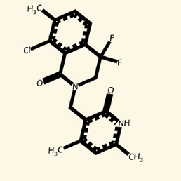 Cc1cc(C)c(CN2CC(F)(F)c3ccc(C)c(Cl)c3C2=O)c(=O)[nH]1